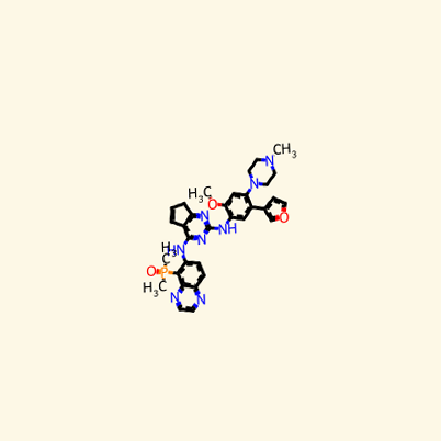 COc1cc(N2CCN(C)CC2)c(-c2ccoc2)cc1Nc1nc2c(c(Nc3ccc4nccnc4c3P(C)(C)=O)n1)C=CC2